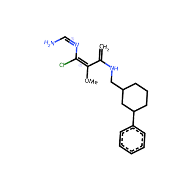 C=C(NCC1CCCC(c2ccccc2)C1)/C(OC)=C(Cl)\N=C/N